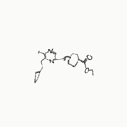 CCOC(=O)C1CCN(c2cnc(I)c(CCC3CC3)n2)CC1